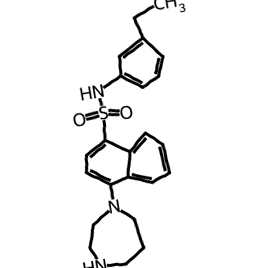 CCc1cccc(NS(=O)(=O)c2ccc(N3CCCNCC3)c3ccccc23)c1